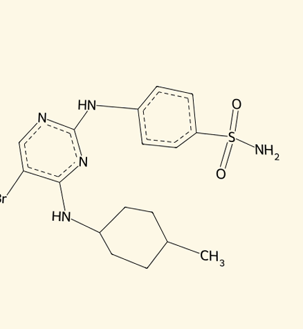 CC1CCC(Nc2nc(Nc3ccc(S(N)(=O)=O)cc3)ncc2Br)CC1